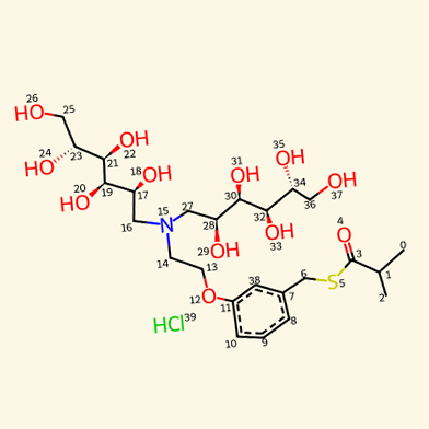 CC(C)C(=O)SCc1cccc(OCCN(C[C@H](O)[C@@H](O)[C@H](O)[C@H](O)CO)C[C@H](O)[C@@H](O)[C@H](O)[C@H](O)CO)c1.Cl